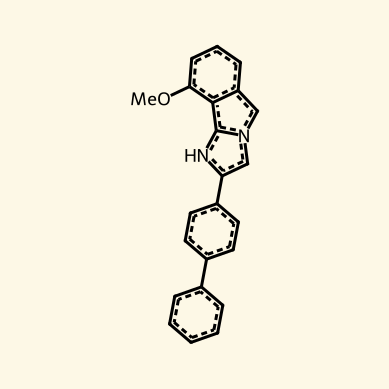 COc1cccc2cn3cc(-c4ccc(-c5ccccc5)cc4)[nH]c3c12